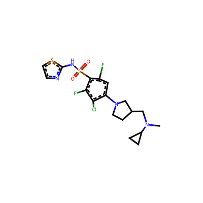 CN(CC1CCN(c2cc(F)c(S(=O)(=O)Nc3nccs3)c(F)c2Cl)C1)C1CC1